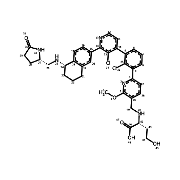 COc1nc(-c2cccc(-c3ccnc(-c4ccc5c(c4)CCC[C@@H]5NC[C@@H]4CCC(=O)N4)c3Cl)c2Cl)ccc1CN[C@H](CCO)C(=O)O